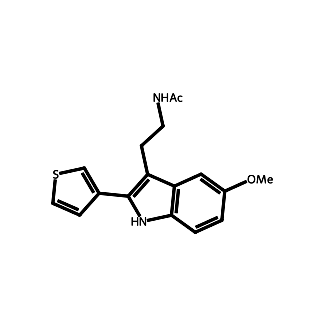 COc1ccc2[nH]c(-c3ccsc3)c(CCNC(C)=O)c2c1